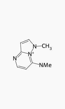 CNc1ccnc2ccn(C)[n+]12